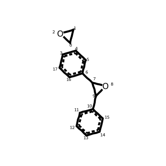 C1CO1.c1ccc(C2OC2c2ccccc2)cc1